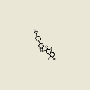 Cn1c(=O)c(Nc2ccc(N3CCN(C4COC4)CC3)cn2)cc2c(F)c(Br)ccc21